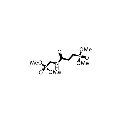 COP(=O)(CCC(=O)NCP(=O)(OC)OC)OC